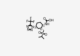 CC(C)S(=O)(=O)C[C@@H]1C[C@H](n2nnnc2C(F)(F)F)CC[C@@H]1NC(=O)O